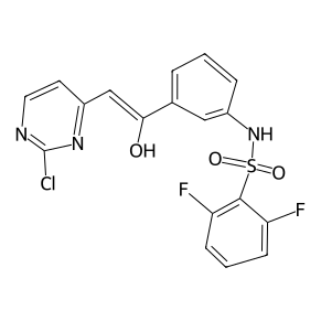 O=S(=O)(Nc1cccc(C(O)=Cc2ccnc(Cl)n2)c1)c1c(F)cccc1F